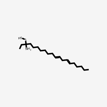 CCCCCC=CCC=CCCCCCCCC(N)(CC)SS